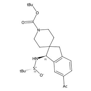 CC(=O)c1ccc2c(c1)[C@@H](N[S@+]([O-])C(C)(C)C)C1(CCN(C(=O)OC(C)(C)C)CC1)C2